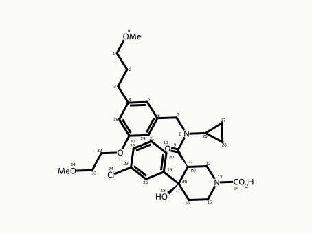 COCCCc1cc(CN(C(=O)[C@H]2CN(C(=O)O)CC[C@]2(O)c2cccc(Cl)c2)C2CC2)cc(OCCOC)c1